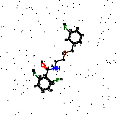 O=C(NCCSCc1cccc(F)c1)c1c(F)cccc1F